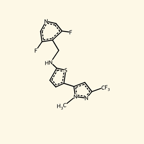 Cn1nc(C(F)(F)F)cc1-c1ccc(NCc2c(F)cncc2F)s1